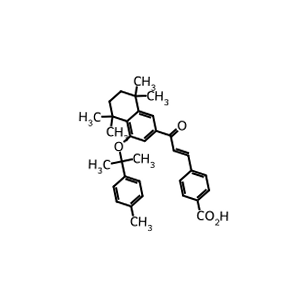 Cc1ccc(C(C)(C)Oc2cc(C(=O)C=Cc3ccc(C(=O)O)cc3)cc3c2C(C)(C)CCC3(C)C)cc1